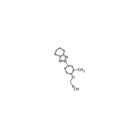 C#CCOc1ccc(-n2nc3ccccc3n2)cc1C